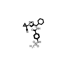 CS(=O)(=O)Nc1ccc(C(=O)N[C@H](c2cn(C3(C#N)CC3)nn2)C2CCCCC2)cc1